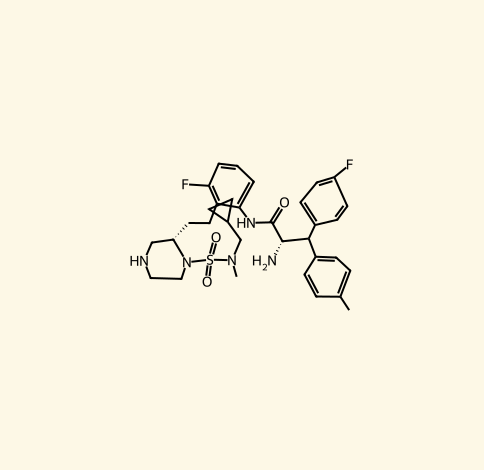 Cc1ccc(C(c2ccc(F)cc2)[C@H](N)C(=O)Nc2cccc(F)c2CC[C@H]2CNCCN2S(=O)(=O)N(C)CC2CC2)cc1